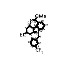 CCC1CC(=O)c2c(n(Cc3cccc(C(F)(F)F)c3)c3cccc(C(=O)OC)c23)C1